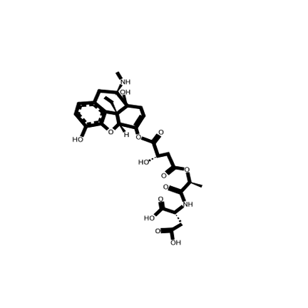 CC[C@]12c3c4ccc(O)c3O[C@H]1C(OC(=O)[C@@H](O)CC(=O)O[C@@H](C)C(=O)N[C@H](CC(=O)O)C(=O)O)=CC[C@@]2(O)[C@H](NC)C4